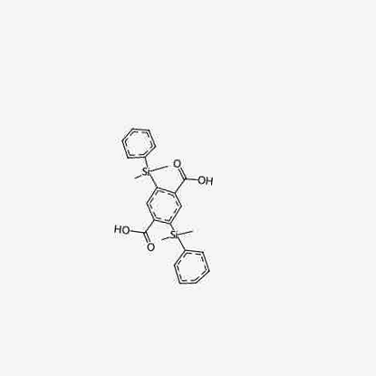 C[Si](C)(c1ccccc1)c1cc(C(=O)O)c([Si](C)(C)c2ccccc2)cc1C(=O)O